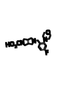 O=C(O)N1CC2CN(Cc3ccc(F)cc3N3CCOCC3)CC2C1